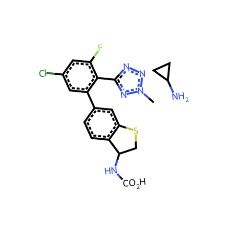 Cn1nnc(-c2c(F)cc(Cl)cc2-c2ccc3c(c2)SCC3NC(=O)O)n1.NC1CC1